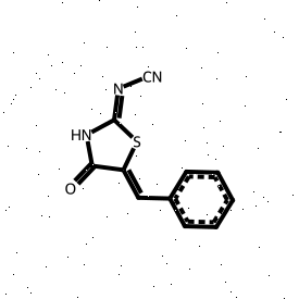 N#CN=C1NC(=O)C(=Cc2ccccc2)S1